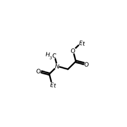 [CH2]CC(=O)N(C)CC(=O)OCC